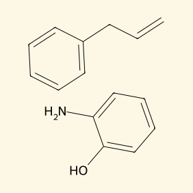 C=CCc1ccccc1.Nc1ccccc1O